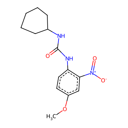 COc1ccc(NC(=O)NC2CCCCC2)c([N+](=O)[O-])c1